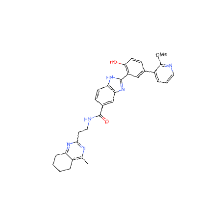 COc1ncccc1-c1ccc(O)c(-c2nc3cc(C(=O)NCCc4nc(C)c5c(n4)CCCC5)ccc3[nH]2)c1